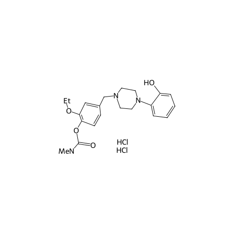 CCOc1cc(CN2CCN(c3ccccc3O)CC2)ccc1OC(=O)NC.Cl.Cl